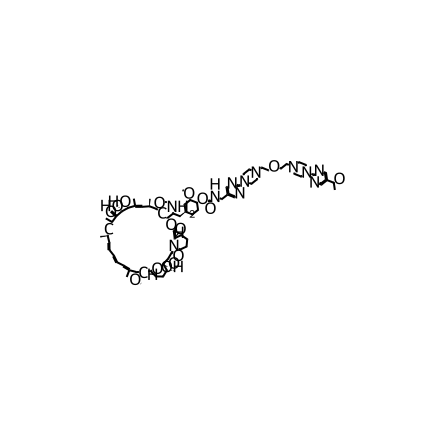 CO[C@H]1C[C@@H]2CC[C@@H](C)[C@@](O)(O2)C(=O)C(=O)N2CCCC[C@H]2C(=O)O[C@H]([C@H](N)C[C@@H]2CC[C@@H](OC(=O)NCc3cnc(N4CCN(CCOCCN5CCN(c6ncc(C(C)=O)cn6)CC5)CC4)nc3)[C@H](OC)C2)C[C@@H](OC)[C@H](C)/C=C(\C)[C@@H](O)[C@@H](O)C(=O)C(C)C[C@H](C)/C=C/C=C/C=C/1C